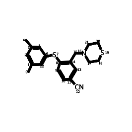 Cc1cc(C)cc(Sc2ccc(C#N)cc2CN2CCSCC2)c1